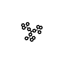 c1ccc(N(c2ccc(C(c3ccc(N(c4ccccc4)c4cccc5ccccc45)cc3)c3ccc(N(c4ccccc4)c4cccc5ccccc45)cc3)cc2)c2cccc3ccccc23)cc1